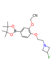 CC1(C)OB(c2ccc(OCCN3CC(F)C3)c(OCC#N)c2)OC1(C)C